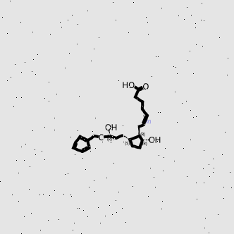 O=C(O)CCC/C=C\C[C@@H]1[C@@H](CC[C@@H](O)CCc2ccccc2)CC[C@H]1O